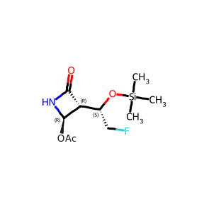 CC(=O)O[C@H]1NC(=O)[C@@H]1[C@@H](CF)O[Si](C)(C)C